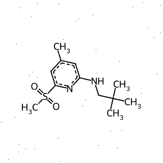 Cc1cc(NCC(C)(C)C)nc(S(C)(=O)=O)c1